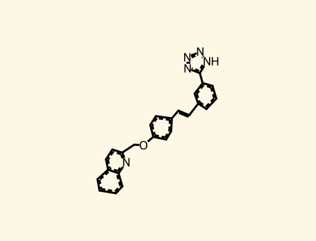 C(=Cc1cccc(-c2nnn[nH]2)c1)c1ccc(OCc2ccc3ccccc3n2)cc1